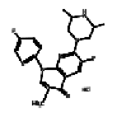 CC1CN(c2nc3c(cc2F)c(=O)c(C(=O)O)cn3-c2ccc(F)cn2)CC(C)N1.Cl